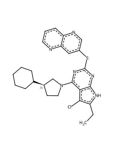 CCc1[nH]c2nc(Sc3cnc4cccnc4c3)nc(N3CC[C@@H](C4CCCCC4)C3)c2c1Cl